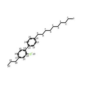 CCCCCCCCCCc1ccc(-c2ccc(CCC)cc2F)cc1